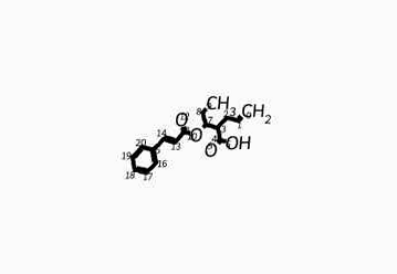 C=CCC(C(=O)O)C(CC)OC(=O)/C=C/c1ccccc1